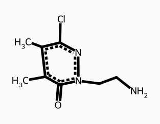 Cc1c(Cl)nn(CCN)c(=O)c1C